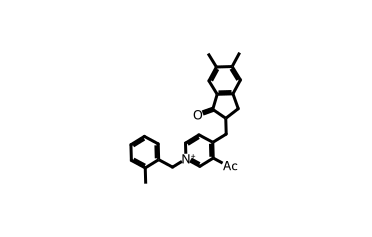 CC(=O)c1c[n+](Cc2ccccc2C)ccc1CC1Cc2cc(C)c(C)cc2C1=O